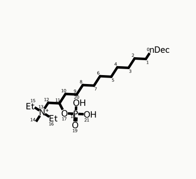 CCCCCCCCCCCCCCCCCCCCC(C[N+](C)(CC)CC)OP(=O)(O)O